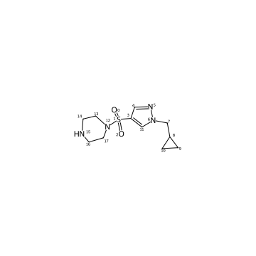 O=S(=O)(c1cnn(CC2CC2)c1)N1CCNCC1